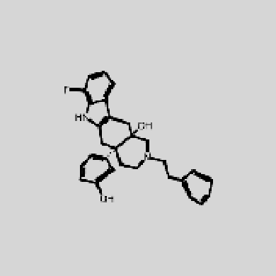 Oc1cccc([C@@]23CCN(CCc4ccccc4)C[C@@]2(O)Cc2c([nH]c4c(F)cccc24)C3)c1